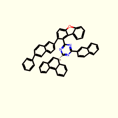 C1=CC2=c3ccccc3=C[C@H](c3nc(-c4ccc5ccccc5c4)nc(-c4c(-c5ccc6cc(-c7ccccc7)ccc6c5)ccc5oc6ccccc6c45)n3)C2C=C1